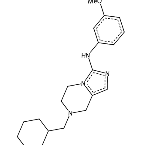 COc1cccc(Nc2ncc3n2CCN(CC2CCCCC2)C3)c1